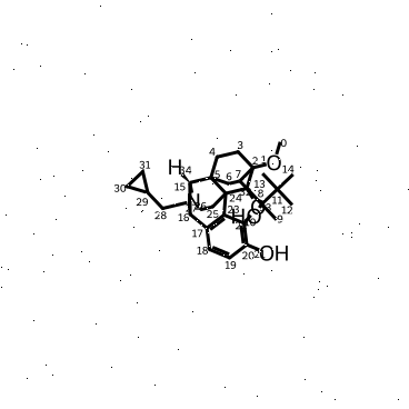 COC12CCC3(CC1C(C)(O)C(C)(C)C)[C@H]1Cc4ccc(O)c5c4C3(CCN1CC1CC1)C2O5